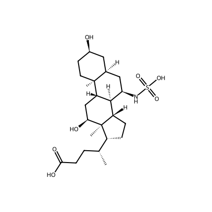 C[C@H](CCC(=O)O)[C@H]1CC[C@H]2[C@@H]3[C@H](NS(=O)(=O)O)C[C@@H]4C[C@H](O)CC[C@]4(C)[C@H]3C[C@H](O)[C@]12C